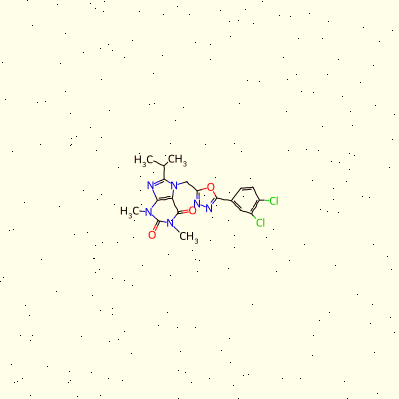 CC(C)c1nc2c(c(=O)n(C)c(=O)n2C)n1Cc1nnc(-c2ccc(Cl)c(Cl)c2)o1